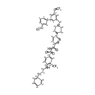 CCOc1cccc(-c2cc(CN3CCN(c4ccc(C(=O)NS(=O)(=O)c5ccc(NCCSc6ccccc6)c(C(F)(F)F)c5)nn4)CC3)cc(OC(F)(F)F)c2)c1